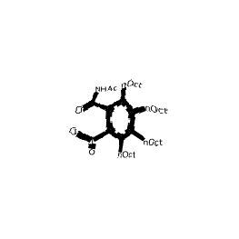 CCCCCCCCc1c(CCCCCCCC)c(CCCCCCCC)c(I(=O)=O)c(C(=O)NC(C)=O)c1CCCCCCCC